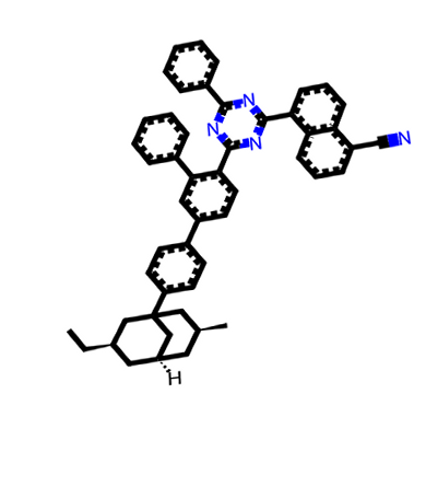 CC[C@@H]1C[C@@H]2C[C@H](C)CC(c3ccc(-c4ccc(-c5nc(-c6ccccc6)nc(-c6cccc7c(C#N)cccc67)n5)c(-c5ccccc5)c4)cc3)(C1)C2